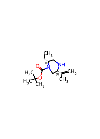 C=C(C)[C@@H]1CN(C(=O)OC(C)(C)C)[C@H](CC)CN1